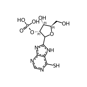 O=P(O)(O)O[C@H]1C(c2nc3ncnc(S)c3[nH]2)O[C@H](CO)[C@H]1O